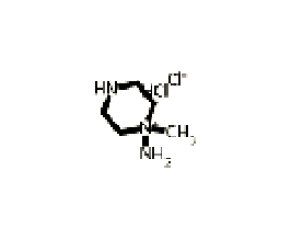 C[N+]1(N)CCNCC1.Cl.[Cl-]